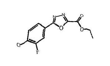 CCOC(=O)c1nnc(-c2ccc(Cl)c(F)c2)o1